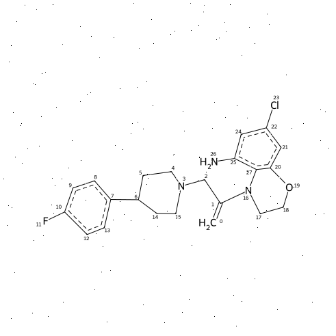 C=C(CN1CCC(c2ccc(F)cc2)CC1)N1CCOc2cc(Cl)cc(N)c21